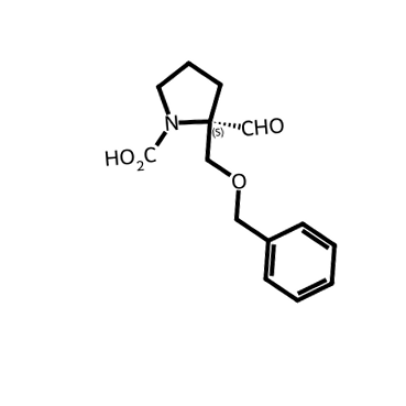 O=C[C@@]1(COCc2ccccc2)CCCN1C(=O)O